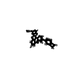 CC(C)(C)c1ccc2sc3c(c2c1)Oc1cccc2c1B3c1ccc(-c3ccc4c(c3)CC4)cc1O2